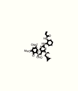 C=CC(=O)NC1CCCCC1Nc1ncc(CN(C=O)c2cc(OC)cc(OC)c2Cl)c(N(C)CC2CC2)n1